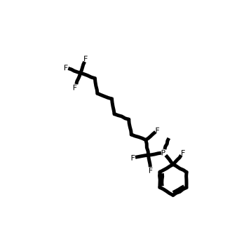 CP(C1(F)C=CC=CC1)C(F)(F)C(F)CCCCCCC(F)(F)F